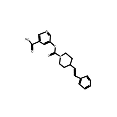 O=C(O)c1cncc(OC(=O)N2CCC(C=Cc3ccccc3)CC2)c1